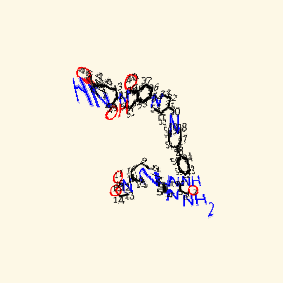 NC(=O)c1ncc(N2CCC[C@@H](N3CCOC3=O)C2)nc1Nc1ccc(C2CCN(CC3CCN(c4ccc5c(=O)n(C6CCC(=O)NC6O)ccc5c4)CC3)CC2)cc1